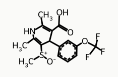 CC1=C(C(=O)O)C(c2cccc(OC(F)(F)F)c2)C([S+](C)[O-])=C(C)N1